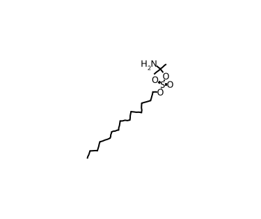 CCCCCCCCCCCCCCOS(=O)(=O)OC(C)(C)N